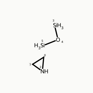 C1CN1.[SiH3]O[SiH3]